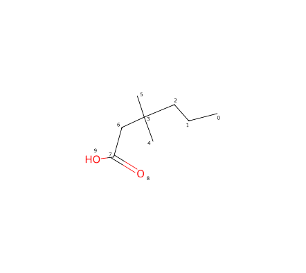 CCCC(C)(C)CC(=O)O